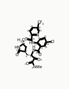 CNC(=O)C(=O)[C@H](C[C@@H]1C[C@@H](C)NC1=O)NC(=O)c1cc(Cl)ccc1NC(=O)c1ccc(C(F)(F)F)cn1